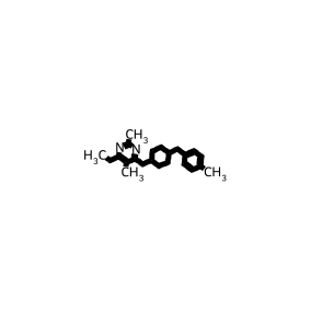 CCc1nc(C)nc(CC2CCC(Cc3ccc(C)cc3)CC2)c1C